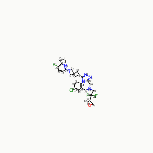 Cc1nc(N2CC3(CC(c4nnc5n4-c4ccc(Cl)cc4CN(CC(F)(F)C4COC4)C5)C3)C2)ccc1F